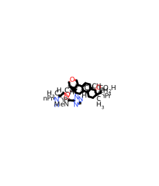 CCCN[C@@](C)(CO[C@H]1[C@H](n2ncnc2C(=O)NC)C[C@@]23COC[C@@]1(C)[C@@H]2CC[C@H]1C3=CC[C@]2(C)C(OC(=O)O)[C@@](C)([C@H](C)C(C)C)CC[C@]12C)C(C)C